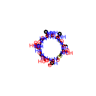 CCCC[C@H]1C(=O)N[C@@H](CCC(=O)O)C(=O)NCCSCC(=O)N[C@@H](Cc2ccc(OC)cc2)C(=O)N(C)[C@@H](C)C(=O)N[C@@H](CC(=O)O)C(=O)N2CCCC2C(=O)N[C@@H](Cc2cnc[nH]2)C(=O)N[C@@H](CCC(=O)O)C(=O)N2CCCC2C(=O)N[C@@H](Cc2c[nH]c3ccccc23)C(=O)N[C@@H](CCN)C(=O)N[C@@H](Cc2c[nH]c3ccccc23)C(=O)N(C)CC(=O)N1C